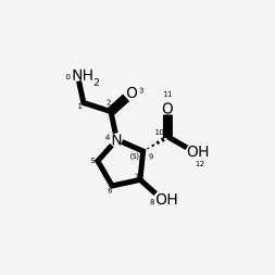 NCC(=O)N1CCC(O)[C@H]1C(=O)O